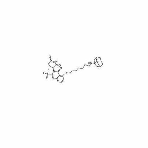 O=C1CCC(n2c(C(F)(F)F)nc3cccc(OCCCCCCCNC45CC6CC(CC(C6)C4)C5)c3c2=O)C(=O)N1